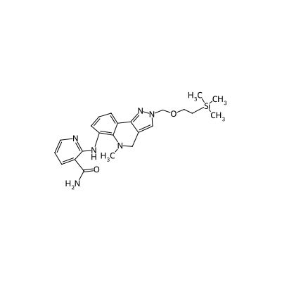 CN1Cc2cn(COCC[Si](C)(C)C)nc2-c2cccc(Nc3ncccc3C(N)=O)c21